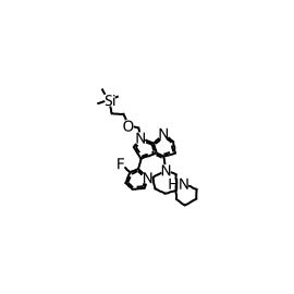 C[Si](C)(C)CCOCn1cc(-c2ncccc2F)c2c(N3CCCC4(CCCCN4)C3)ccnc21